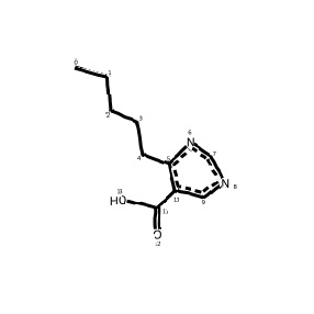 CCCCCc1ncncc1C(=O)O